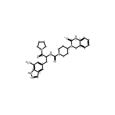 Cc1cc(CC(NC(=O)N2CCC(N3Cc4ccccc4NC3=O)CC2)C(=O)N2CCCC2)cc2cn[nH]c12